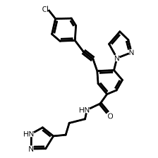 O=C(NCCCc1cn[nH]c1)c1ccc(-n2cccn2)c(C#Cc2ccc(Cl)cc2)c1